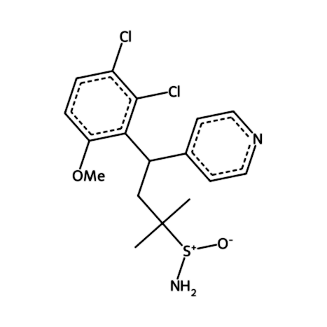 COc1ccc(Cl)c(Cl)c1C(CC(C)(C)[S+](N)[O-])c1ccncc1